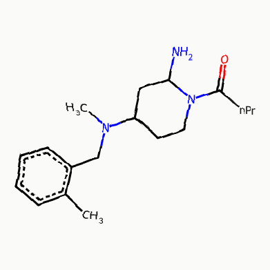 CCCC(=O)N1CCC(N(C)Cc2ccccc2C)CC1N